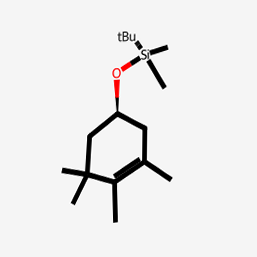 CC1=C(C)C(C)(C)C[C@@H](O[Si](C)(C)C(C)(C)C)C1